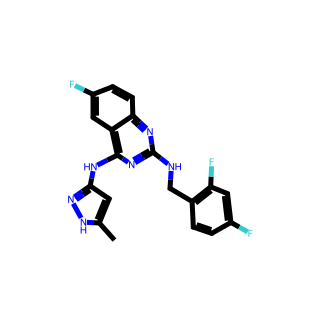 Cc1cc(Nc2nc(NCc3ccc(F)cc3F)nc3ccc(F)cc23)n[nH]1